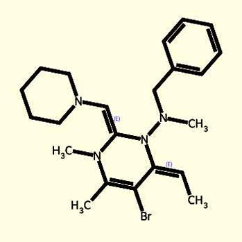 C/C=C1\C(Br)=C(C)N(C)/C(=C\N2CCCCC2)N1N(C)Cc1ccccc1